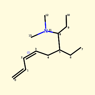 C=C/C=C\CC(CC)C(CC)N(C)C